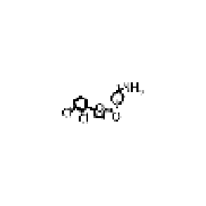 CC1(N)CCN(C(=O)c2ccc(-c3cccc(Cl)c3Cl)o2)CC1